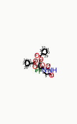 O=C(OC[C@H]1O[C@@H](n2ccc(=O)[nH]c2=O)C(F)(F)[C@@H]1OC(=O)c1ccccc1)c1ccccc1